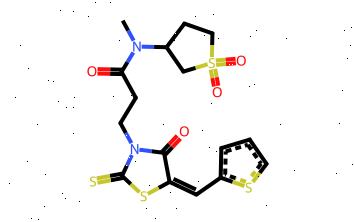 CN(C(=O)CCN1C(=O)/C(=C\c2cccs2)SC1=S)C1CCS(=O)(=O)C1